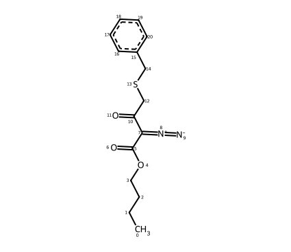 CCCCOC(=O)C(=[N+]=[N-])C(=O)CSCc1ccccc1